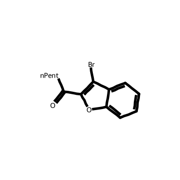 CCCCCC(=O)c1oc2ccccc2c1Br